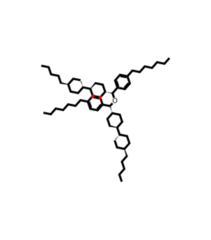 CCCCCCCc1ccc(C(OC(c2ccc(CCCCCCC)cc2)[C@H]2CC[C@H]([C@H]3CC[C@H](CCCCC)CC3)CC2)[C@H]2CC[C@H]([C@H]3CC[C@H](CCCCC)CC3)CC2)cc1